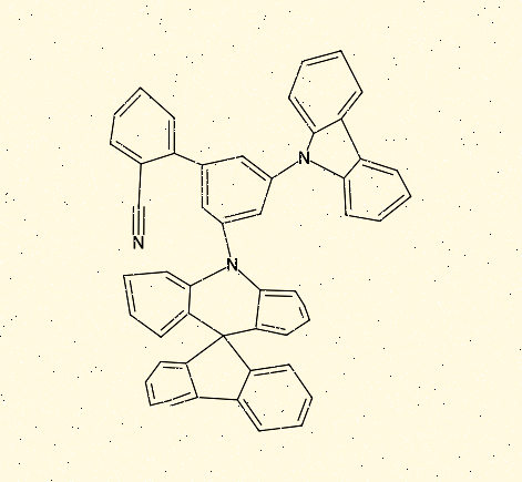 N#Cc1ccccc1-c1cc(N2c3ccccc3C3(c4ccccc4-c4ccccc43)c3ccccc32)cc(-n2c3ccccc3c3ccccc32)c1